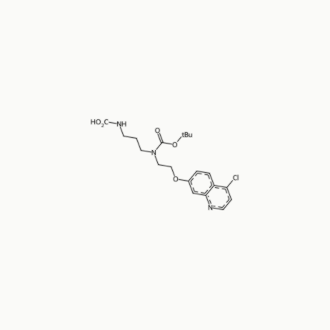 CC(C)(C)OC(=O)N(CCCNC(=O)O)CCOc1ccc2c(Cl)ccnc2c1